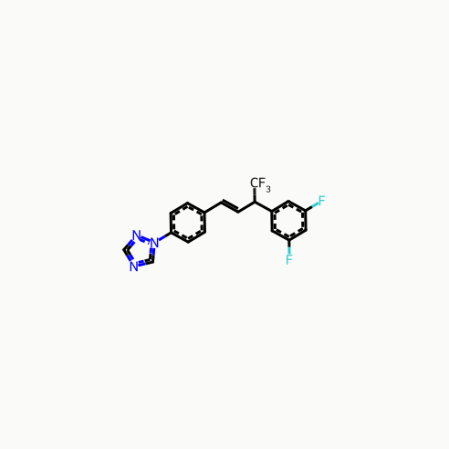 Fc1cc(F)cc(C(/C=C/c2ccc(-n3cncn3)cc2)C(F)(F)F)c1